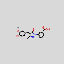 CCOc1cc(C=C2C(=O)N(c3cccc(C(=O)O)c3)N=C2C)ccc1O